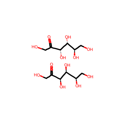 O=C(CO)[C@@H](O)[C@H](O)[C@H](O)CO.O=C(CO)[C@H](O)[C@@H](O)[C@H](O)CO